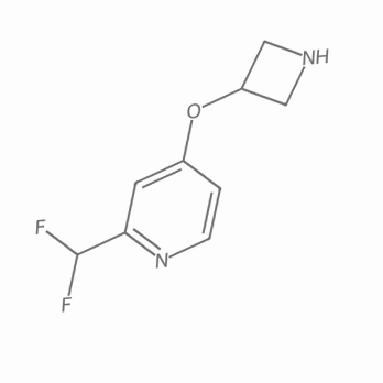 FC(F)c1cc(OC2CNC2)ccn1